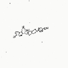 Cc1c(C(O)CN2CCC3(CC2)CCN(c2cnc(C#N)cn2)CC3)ccc2c1COC2=O